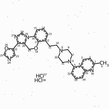 Cc1ccc2c(N3CCN(CCc4cccc5c4OCc4c(-c6cnco6)ncn4-5)CC3)cccc2n1.Cl.Cl